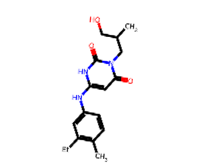 CCc1cc(Nc2cc(=O)n(CC(C)CO)c(=O)[nH]2)ccc1C